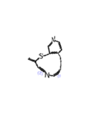 C=C1/C=N\C=C/Cc2ccncc2S1